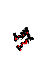 c1ccc(-c2nc(-c3ccc(-c4ccc5c6ccccc6c6ccc(-c7ccccc7-c7ccccc7-c7ccc8oc9cc(-c%10nc(-c%11ccccc%11)nc(-c%11ccccc%11)n%10)ccc9c8c7)cc6c5c4)cc3)nc(-c3ccc4c(c3)oc3ccc(-c5cccc(-c6ccc7c8ccccc8c8ccccc8c7c6)c5)cc34)n2)cc1